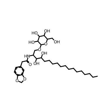 CCCCCCCCCCCCCCC(O)C(O)C(COC1OC(CO)C(O)C(O)C1O)NC(=O)Cc1ccc2c(c1)OCO2